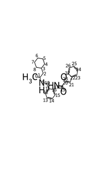 CC(CC1CCCCC1)NCc1ccccc1NC(=O)c1cc2ccccc2o1